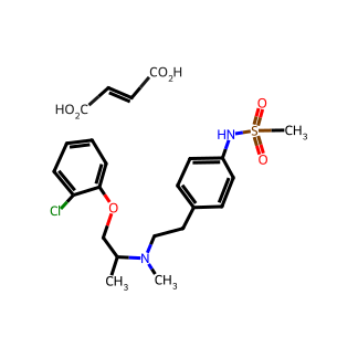 CC(COc1ccccc1Cl)N(C)CCc1ccc(NS(C)(=O)=O)cc1.O=C(O)/C=C/C(=O)O